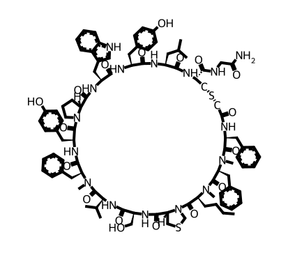 CCCC[C@H]1C(=O)N2CSC[C@@H]2C(=O)N[C@@H](CO)C(=O)N[C@@H](C(C)C)C(=O)N(C)[C@@H](Cc2ccccc2)C(=O)N[C@@H](Cc2ccc(O)cc2)C(=O)N2CCC[C@@H]2C(=O)N[C@@H](Cc2c[nH]c3ccccc23)C(=O)N[C@@H](Cc2ccc(O)cc2)C(=O)N[C@@H](CC(C)C)C(=O)N[C@H](C(=O)NCC(N)=O)CSCC(=O)N[C@@H](Cc2ccccc2)C(=O)N(C)[C@@H](Cc2ccccc2)C(=O)N1C